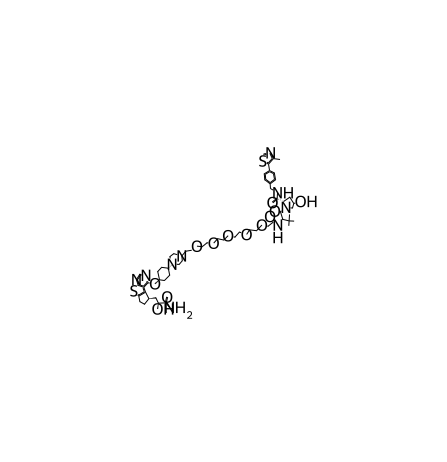 Cc1ncsc1-c1ccc(CNC(=O)[C@@H]2C[C@@H](O)CN2C(=O)[C@@H](NC(=O)COCCOCCOCCOCCOCCN2CCN([C@H]3CC[C@H](Oc4ncnc5sc6c(c45)[C@@H](C[C@H](O)C(N)=O)CC6)CC3)CC2)C(C)(C)C)cc1